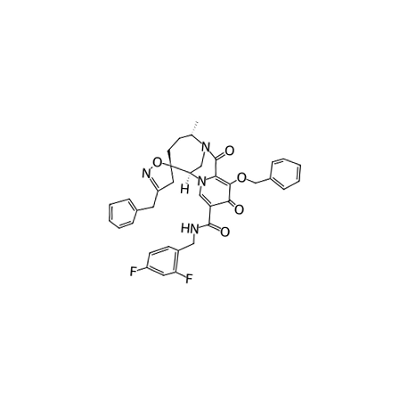 C[C@H]1CC[C@]2(CC(Cc3ccccc3)=NO2)[C@H]2CN1C(=O)c1c(OCc3ccccc3)c(=O)c(C(=O)NCc3ccc(F)cc3F)cn12